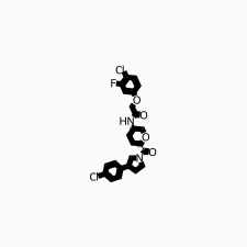 O=C(COc1ccc(Cl)c(F)c1)N[C@@H]1CC[C@@H](C(=O)N2CCC(c3ccc(Cl)cc3)C2)OC1